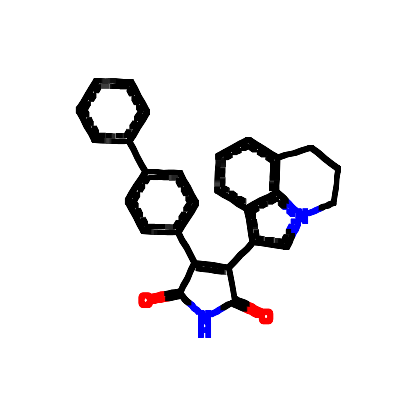 O=C1NC(=O)C(c2cn3c4c(cccc24)CCC3)=C1c1ccc(-c2ccccc2)cc1